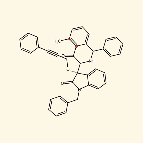 CCOC(=O)C(NC(c1ccccc1)c1ccccc1)[C@]1(OCC#Cc2ccccc2)C(=O)N(Cc2ccccc2)c2ccccc21